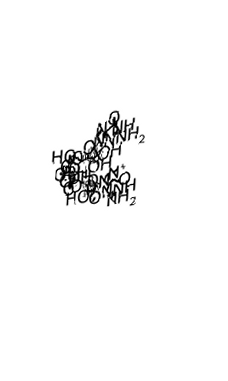 BP(=O)(OP(=O)(O)OC[C@H]1O[C@@H](n2cnc3c(=O)[nH]c(N)nc32)[C@H](O)[C@@H]1O)OP(=O)(O)OC[C@H]1O[C@@H](n2c[n+](C)c3c(=O)[nH]c(N)nc32)[C@H](OC)[C@@H]1O